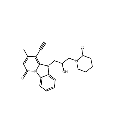 C#Cc1c(C)cc(=O)n2c3ccccc3n(CC(O)CN3CCCCC3CC)c12